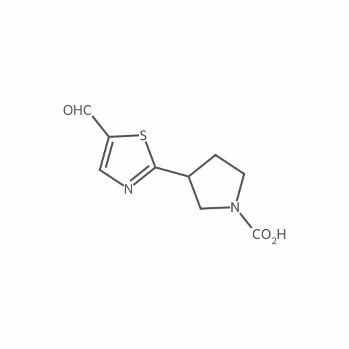 O=Cc1cnc(C2CCN(C(=O)O)C2)s1